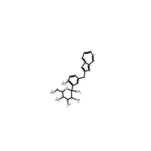 CC1(c2cc(Cc3cc4cccccc-4c3)ccc2O)OC(CO)C(O)C(O)C1O